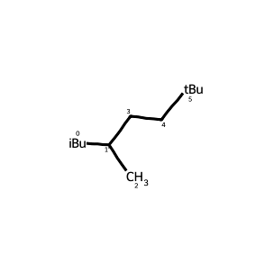 CCC(C)[C](C)CCC(C)(C)C